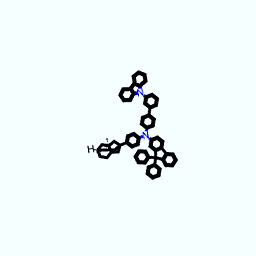 C[C@@]12C[C@@H]3CCC1CC(c1ccc(N(c4ccc(-c5cccc(-n6c7ccccc7c7ccccc76)c5)cc4)c4ccc5c(c4)C(c4ccccc4)(c4ccccc4)c4ccccc4-5)cc1)(C3)C2